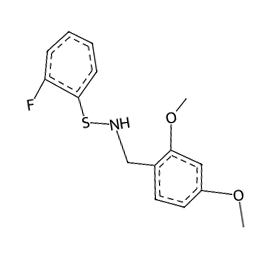 COc1ccc(CNSc2ccccc2F)c(OC)c1